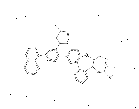 CC1C=CC=C(c2cc(-c3nccc4ccccc34)ccc2-c2ccc3c(c2)-c2ccccc2C2C=C4SCCC4=CCC2O3)C1